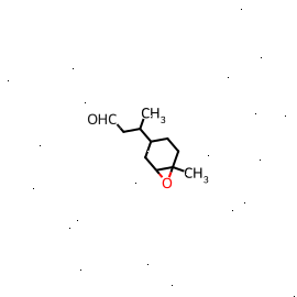 CC(CC=O)C1CCC2(C)OC2C1